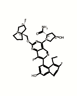 CCc1c(F)ccc2cc(O)cc(-c3ncc4c(N5C[C@H](O)C[C@H]5C(N)=O)nc(OC[C@@]56CCCN5C[C@H](F)C6)nc4c3F)c12